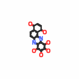 O=C1C=CC(=O)c2c1ccc1nc3c(=O)c(=O)c(=O)c(=O)c3nc21